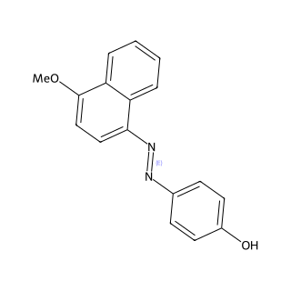 COc1ccc(/N=N/c2ccc(O)cc2)c2ccccc12